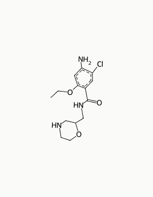 CCOc1cc(N)c(Cl)cc1C(=O)NCC1CNCCO1